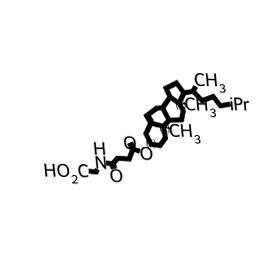 CC(C)CCCC(C)C1CCC2C3CC=C4C[C@@H](OC(=O)CCC(=O)NCC(=O)O)CC[C@]4(C)C3CC[C@]12C